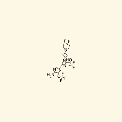 Nc1ncc(-c2cn(C34CC(N5CCC(F)(F)CC5)(C3)C4)c([C@H](O)C(F)(F)F)n2)cc1OC(F)(F)F